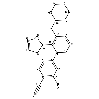 N#Cc1ccc(-c2cccc(CC3CNCCO3)c2C2CC=NO2)cc1F